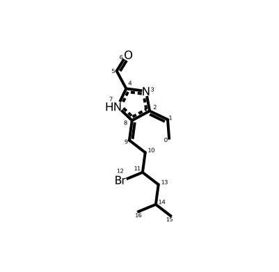 C/C=c1/nc(C=O)[nH]/c1=C/CC(Br)CC(C)C